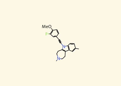 COc1ccc(C#Cn2c3c(c4cc(C)ccc42)CCN(C)CC3)cc1F